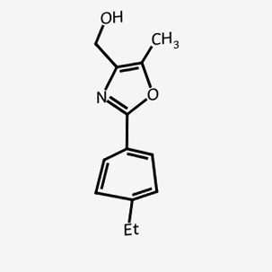 CCc1ccc(-c2nc(CO)c(C)o2)cc1